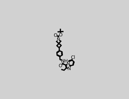 CCc1nc2ccc(Cl)cn2c1C(=O)NCc1ccc(C2CC3(C2)CN(C(=O)OC(C)(C)C)C3)cc1